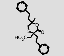 CC1(CCc2ccccc2)CSC(CCc2ccccc2)(CC(=O)O)C(=O)O1